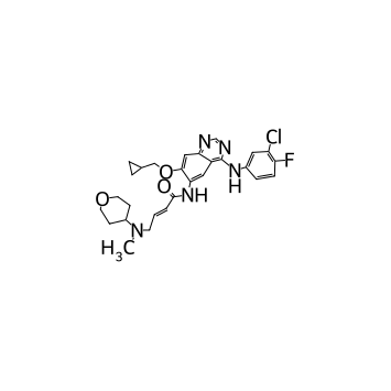 CN(CC=CC(=O)Nc1cc2c(Nc3ccc(F)c(Cl)c3)ncnc2cc1OCC1CC1)C1CCOCC1